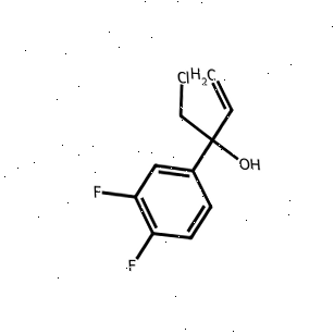 C=CC(O)(CCl)c1ccc(F)c(F)c1